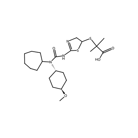 CO[C@H]1CC[C@H](N(C(=O)NC2=NCC(SC(C)(C)C(=O)O)S2)C2CCCCCC2)CC1